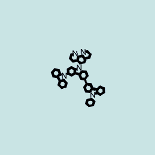 c1ccc(-n2c3ccccc3c3cc(-c4ccc5c(c4)c4cc(-n6c7ccccc7c7ccccc76)ccc4n5-c4cc5cccnc5c5ncccc45)ccc32)cc1